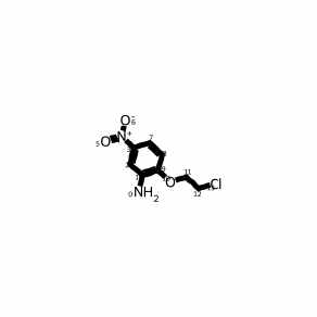 Nc1cc([N+](=O)[O-])ccc1OCCCl